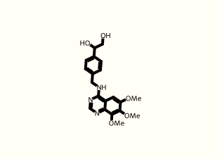 COc1cc2c(NCc3ccc(C(O)CO)cc3)ncnc2c(OC)c1OC